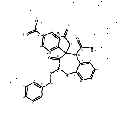 N=C(N)c1ccc(C2(CC(=O)O)C(=O)N(CCc3ccccc3)Cc3ccccc3N2C(N)=O)cc1